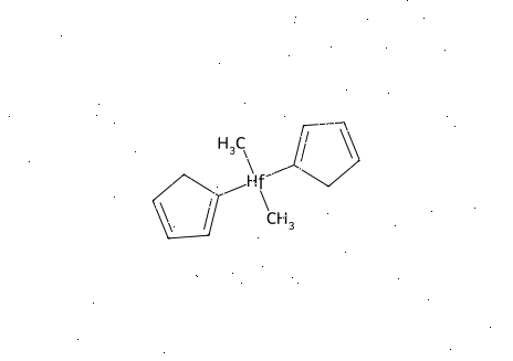 [CH3][Hf]([CH3])([C]1=CC=CC1)[C]1=CC=CC1